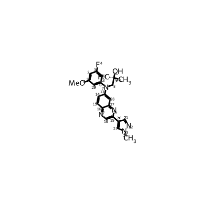 COc1cc(F)cc(N(C[C@](C)(O)C(F)(F)F)c2ccc3ncc(-c4cnn(C)c4)nc3c2)c1